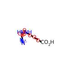 [N-]=[N+]=NCCOC(=O)NS(=O)(=O)NCCOCCOCCOCCC(=O)O